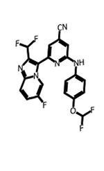 N#Cc1cc(Nc2ccc(OC(F)F)cc2)nc(-c2c(C(F)F)nc3ccc(F)cn23)c1